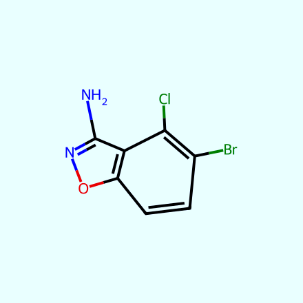 Nc1noc2ccc(Br)c(Cl)c12